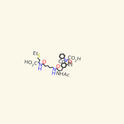 CCSCC[C@H](NC(=O)CCCCNC(=O)C(Cc1ccc(N(C(=O)C(=O)O)c2ccccc2C(=O)O)c(CC)c1)NC(C)=O)C(=O)O